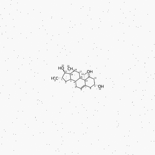 C[C@H]1CC2C3CC=C4C[C@@H](O)CC[C@]4(CO)C3CC[C@]2(C)[C@@H]1O